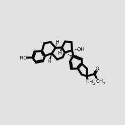 CC(=O)C1(C)Cc2ccc([C@]3(O)CC[C@H]4[C@@H]5CCc6cc(O)ccc6[C@H]5CC[C@@]43C)cc2C1